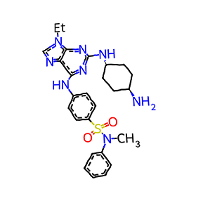 CCn1cnc2c(Nc3ccc(S(=O)(=O)N(C)c4ccccc4)cc3)nc(N[C@H]3CC[C@H](N)CC3)nc21